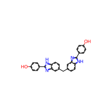 Oc1ccc(-c2nc3cc(Cc4ccc5[nH]c(-c6ccc(O)cc6)nc5c4)ccc3[nH]2)cc1